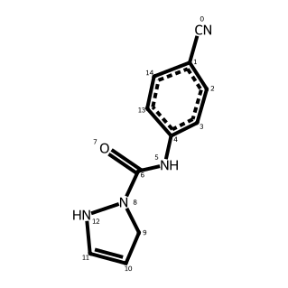 N#Cc1ccc(NC(=O)N2CC=CN2)cc1